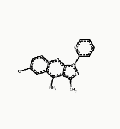 Cc1nn(-c2ccccn2)c2nc3ccc(Cl)cc3c(N)c12